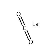 O=C=O.[La]